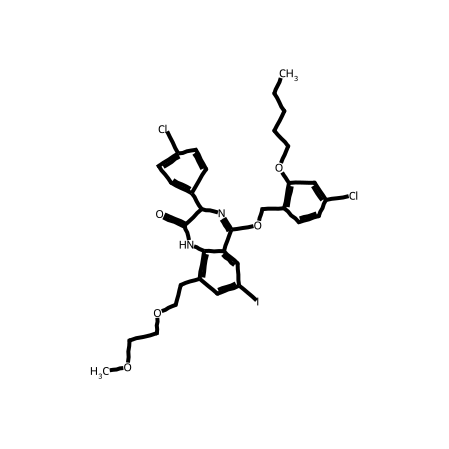 CCCCCOc1cc(Cl)ccc1COC1=NC(c2ccc(Cl)cc2)C(=O)Nc2c(CCOCCOC)cc(I)cc21